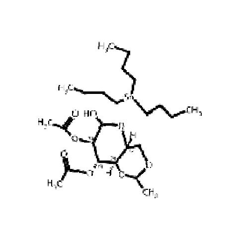 CC(=O)O[C@H]1[C@@H]2OC(C)OC[C@H]2OC(O)[C@@H]1OC(C)=O.CCC[CH2][Sn]([CH2]CCC)[CH2]CCC